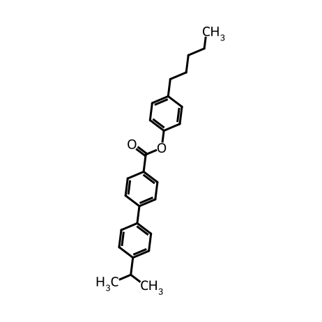 CCCCCc1ccc(OC(=O)c2ccc(-c3ccc(C(C)C)cc3)cc2)cc1